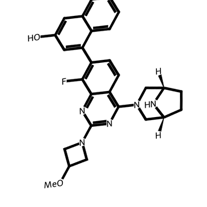 COC1CN(c2nc(N3C[C@H]4CC[C@@H](C3)N4)c3ccc(-c4cc(O)cc5ccccc45)c(F)c3n2)C1